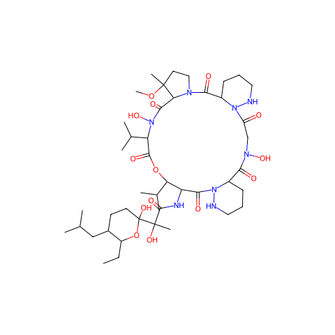 CCC1OC(O)(C(C)(O)C(=O)NC2C(=O)N3NCCCC3C(=O)N(O)CC(=O)N3NCCCC3C(=O)N3CCC(C)(OC)C3C(=O)N(O)C(C(C)C)C(=O)OC2C(C)C)CCC1CC(C)C